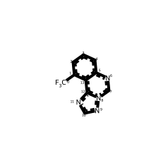 FC(F)(F)c1cccc2ncn3ncnc3c12